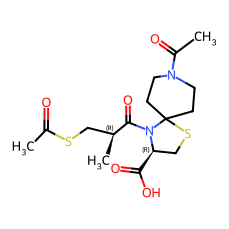 CC(=O)SC[C@H](C)C(=O)N1[C@H](C(=O)O)CSC12CCN(C(C)=O)CC2